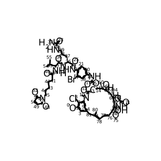 COc1cc2cc(c1Cl)N(C)C(=O)C[C@H](OC(=O)Nc1ccc(NC(=O)[C@H](CCCNC(N)=O)NC(=O)[C@@H](NC(=O)CCCCCN3C(=O)C=CC3=O)C(C)C)c(Br)c1)[C@]1(C)O[C@H]1[C@H](C)[C@@H]1C[C@@](O)(NC(=O)O1)[C@H](OC)/C=C/C=C(\C)C2